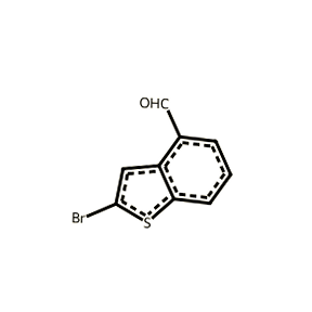 O=Cc1cccc2sc(Br)cc12